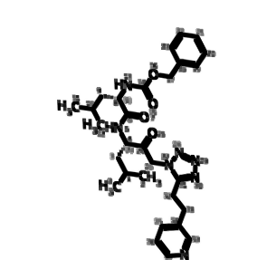 CC(C)C[C@H](NC(=O)[C@H](CC(C)C)NC(=O)OCc1ccccc1)C(=O)Cn1nnnc1CCc1cccnc1